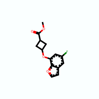 COC(=O)C1CC(Oc2cc(F)cc3ccoc23)C1